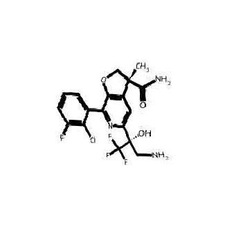 C[C@]1(C(N)=O)COc2c1cc([C@@](O)(CN)C(F)(F)F)nc2-c1cccc(F)c1Cl